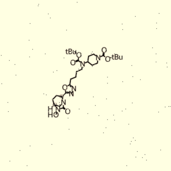 CC(C)(C)OC(=O)N1CCC(N(CCCCc2nnc([C@@H]3CC[C@H]4CN3C(=O)N4O)o2)C(=O)OC(C)(C)C)CC1